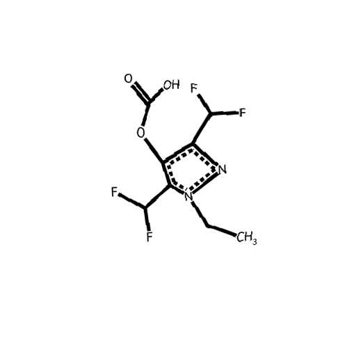 CCn1nc(C(F)F)c(OC(=O)O)c1C(F)F